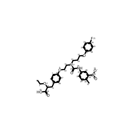 CCOC(Cc1ccc(OCCN(CCCOc2ccc(F)cc2)C(=O)Nc2ccc(C)c([N+](=O)[O-])c2)cc1)C(=O)O